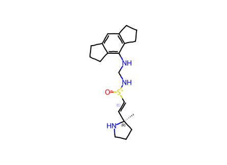 C[C@]1(/C=C/[S+]([O-])NCNc2c3c(cc4c2CCC4)CCC3)CCCN1